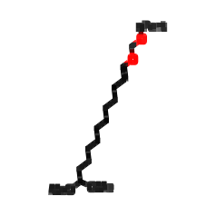 CCCCCOCOC=CCCCCCCCCCC(OC)OC